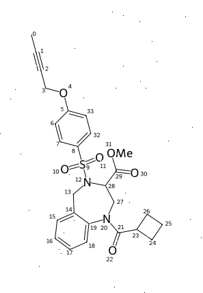 CC#CCOc1ccc(S(=O)(=O)N2Cc3ccccc3N(C(=O)C3CCC3)CC2C(=O)OC)cc1